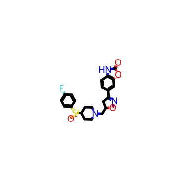 O=c1[nH]c2ccc(C3=NOC(CN4CCC([S+]([O-])c5ccc(F)cc5)CC4)C3)cc2o1